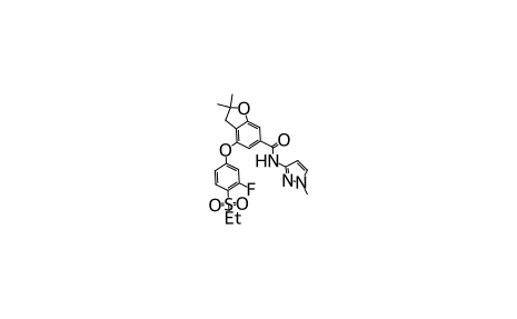 CCS(=O)(=O)c1ccc(Oc2cc(C(=O)Nc3ccn(C)n3)cc3c2CC(C)(C)O3)cc1F